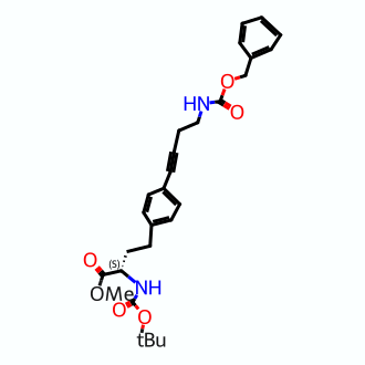 COC(=O)[C@H](CCc1ccc(C#CCCNC(=O)OCc2ccccc2)cc1)NC(=O)OC(C)(C)C